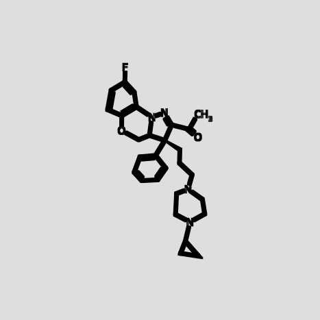 CC(=O)C1=NN2c3cc(F)ccc3OCC2[C@@]1(CCCN1CCN(C2CC2)CC1)c1ccccc1